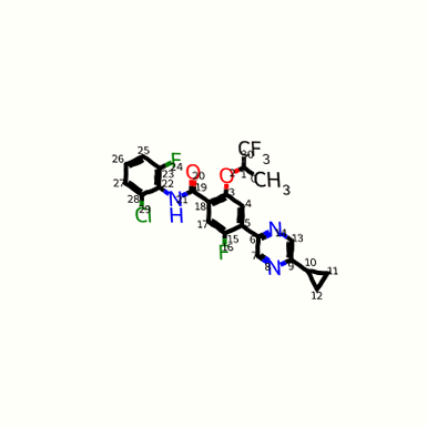 CC(Oc1cc(-c2cnc(C3CC3)cn2)c(F)cc1C(=O)Nc1c(F)cccc1Cl)C(F)(F)F